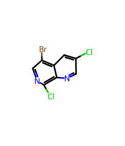 Clc1cnc2c(Cl)ncc(Br)c2c1